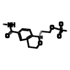 CNC(=O)c1ccc2c(c1)CCO[C@H]2CCOS(C)(=O)=O